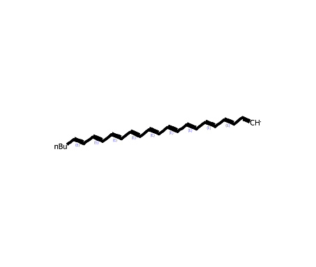 [CH]=C/C=C/C=C/C=C/C=C/C=C/C=C/C=C/C=C/C=C/CCCC